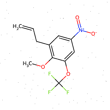 C=CCc1cc([N+](=O)[O-])cc(OC(F)(F)F)c1OC